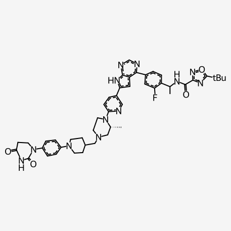 CC(NC(=O)c1noc(C(C)(C)C)n1)c1ccc(-c2ncnc3[nH]c(-c4ccc(N5CCN(CC6CCN(c7ccc(N8CCC(=O)NC8=O)cc7)CC6)C[C@H]5C)nc4)cc23)cc1F